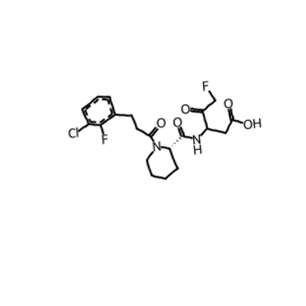 O=C(O)CC(NC(=O)[C@@H]1CCCCN1C(=O)CCc1cccc(Cl)c1F)C(=O)CF